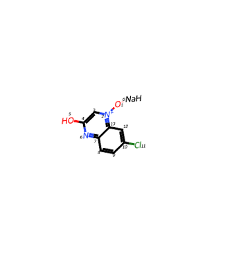 [NaH].[O-][n+]1cc(O)nc2ccc(Cl)cc21